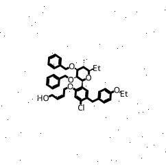 CCOc1ccc(Cc2cc([C@@H]3O[C@H](CC)[C@@H](C)[C@H](OCc4ccccc4)[C@H]3OCc3ccccc3)c(OC/C=C\CO)cc2Cl)cc1